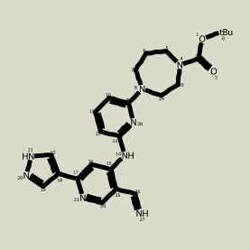 CC(C)(C)OC(=O)N1CCCN(c2cccc(Nc3cc(-c4cn[nH]c4)ncc3C=N)n2)CC1